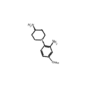 COc1ccc(N2CCC(N)CC2)c(N)c1